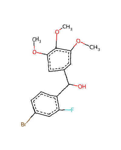 COc1cc(C(O)c2ccc(Br)cc2F)cc(OC)c1OC